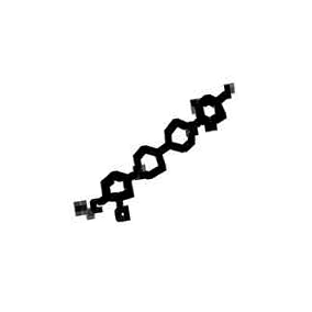 Cc1ccc(N2CCC(C3CCN(c4ncc(F)cn4)CC3)CC2)cc1Cl